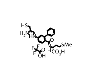 CSCC[C@H](NC(=O)c1ccc(NC[C@@H](N)CS)cc1-c1ccccc1)C(=O)O.O=C(O)C(F)(F)F